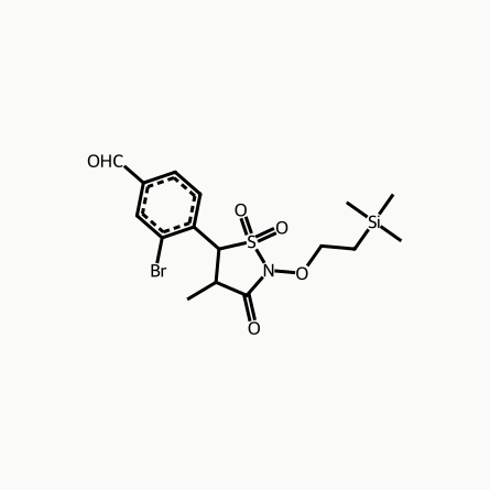 CC1C(=O)N(OCC[Si](C)(C)C)S(=O)(=O)C1c1ccc(C=O)cc1Br